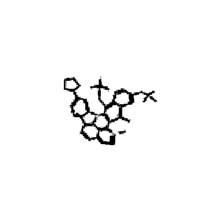 Cc1c2cc(CC(C)(C)C)ccc2c(CC(C)(C)I)c2c1c1c3c(ccc4c5ccc(C6CCCC6)cc5n2c43)cc[n+]1C